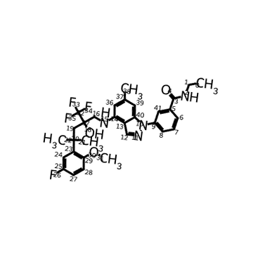 CCNC(=O)c1cccc(-n2ncc3c(NCC(O)(CC(C)(C)c4cc(F)ccc4OC)C(F)(F)F)cc(C)cc32)c1